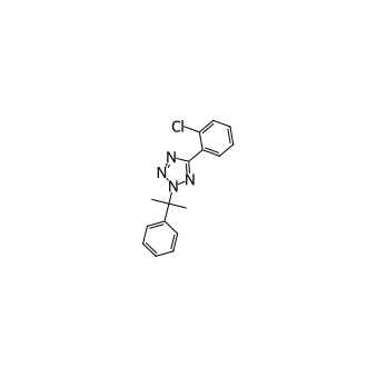 CC(C)(c1ccccc1)n1nnc(-c2ccccc2Cl)n1